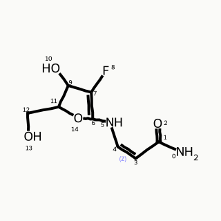 NC(=O)/C=C\NC1=C(F)C(O)C(CO)O1